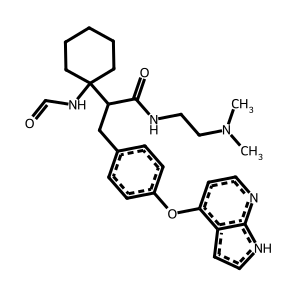 CN(C)CCNC(=O)C(Cc1ccc(Oc2ccnc3[nH]ccc23)cc1)C1(NC=O)CCCCC1